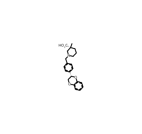 C[C@@]1(C(=O)O)CCCN(Cc2ccc([C@H]3COc4ccccc4O3)cc2)C1